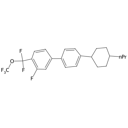 CCCC1CCC(c2ccc(-c3ccc(C(F)(F)OC(F)(F)F)c(F)c3)cc2)CC1